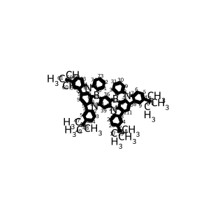 CC(C)(C)c1ccc2c(c1)c1cc3c4cc(C(C)(C)C)ccc4n4c3c3c1n2-c1ccccc1B3c1cc2c(cc1-4)-n1c3ccc(C(C)(C)C)cc3c3cc4c5cc(C(C)(C)C)ccc5n5c4c(c31)B2c1ccccc1-5